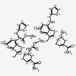 Cc1c([C@H]2CC=C(C(N)=O)C[C@@H]2N)sc2c(NCc3cccs3)cc(Cl)nc12.Cc1c([C@H]2CC=C(C(N)=O)C[C@@H]2NC(=O)OC(C)(C)C)sc2c(N(Cc3cccs3)C(=O)OC(C)(C)C)cc(Cl)nc12